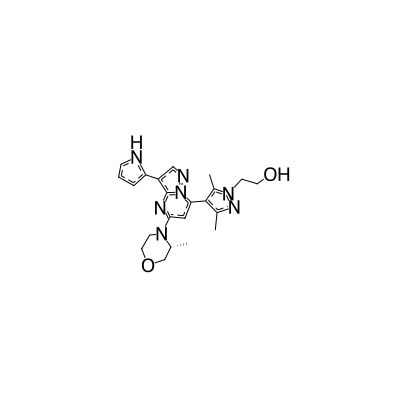 Cc1nn(CCO)c(C)c1-c1cc(N2CCOC[C@H]2C)nc2c(-c3ccc[nH]3)cnn12